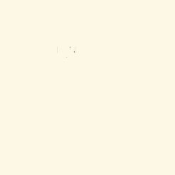 NC[CH]c1ccc2ccccc2c1